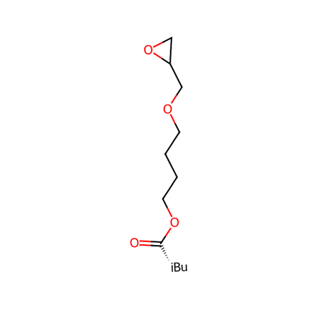 CC[C@@H](C)C(=O)OCCCCOCC1CO1